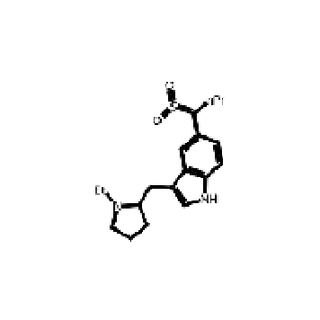 CCCC(c1ccc2[nH]cc(CC3CCCN3CC)c2c1)=S(=O)=O